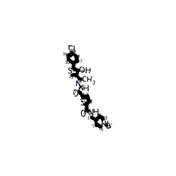 C/C(=N\NC(=O)c1ccc(C(=O)NCc2cc[n+]([O-])cc2)s1)c1csc(-c2ccc(Cl)cc2)c1O